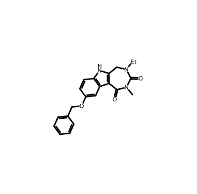 CCN1Cc2[nH]c3ccc(OCc4ccccc4)cc3c2C(=O)N(C)C1=O